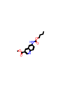 CCCCOC(=O)Nc1ccc2ncc(C(=O)OC)cc2c1